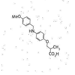 COc1ccc(CNc2ccc(OCC(C)C(=O)O)cc2)cc1